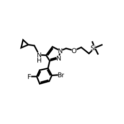 C[Si](C)(C)CCOCn1cc(NCC2CC2)c(-c2cc(F)ccc2Br)n1